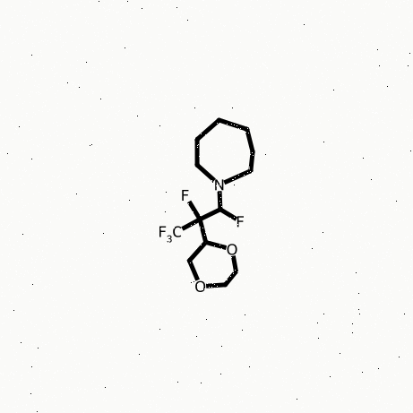 FC(N1CCCCCC1)C(F)(C1COCCO1)C(F)(F)F